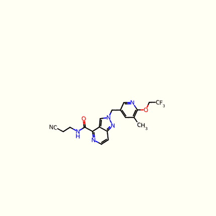 Cc1cc(Cn2cc3c(C(=O)NCCC#N)nccc3n2)cnc1OCC(F)(F)F